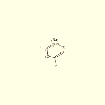 CC(=O)OC(C)=O.O=N[O-].[Na+]